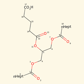 CCCCCCCC(=O)OCC(COC(=O)CCCCCCC)OC(=O)CCCC(=O)O